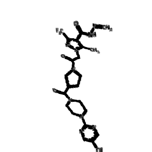 C=NNC(=O)c1c(C(F)(F)F)nn(CC(=O)N2CCC(C(=O)N3CCN(c4ncc(C(F)(F)F)cn4)CC3)C2)c1C